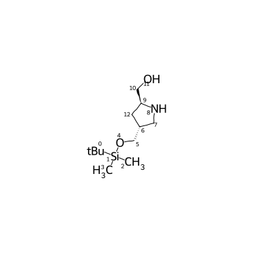 CC(C)(C)[Si](C)(C)OC[C@H]1CN[C@H](CO)C1